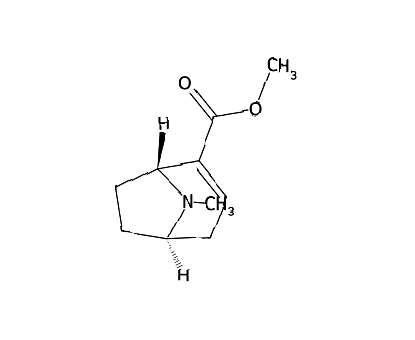 COC(=O)C1=CC[C@H]2CC[C@H]1N2C